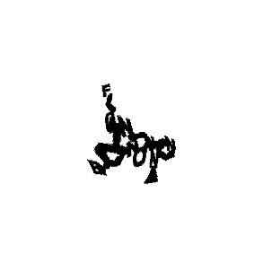 O=c1n(Cc2nc(OCCCF)c3ccc(Br)cc3n2)c2cnccc2n1C1CC1